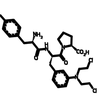 N[C@@H](Cc1ccc(F)cc1)C(=O)N[C@@H](Cc1cccc(N(CCCl)CCCl)c1)C(=O)N1CCC[C@H]1C(=O)O